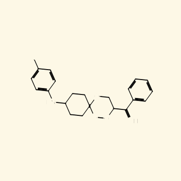 C=C(c1ccccc1)C1COC2(CCC(Nc3ccc(Cl)cc3)CC2)OO1